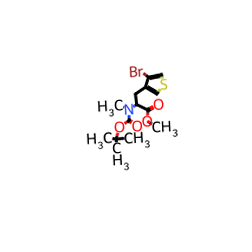 COC(=O)C(Cc1cscc1Br)N(C)C(=O)OC(C)(C)C